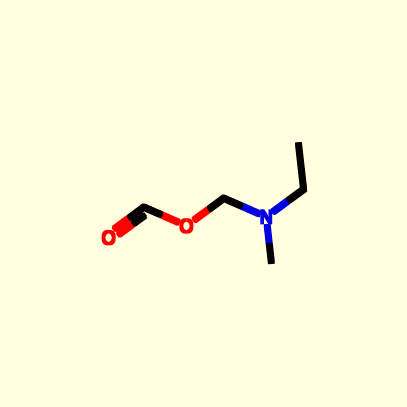 CCN(C)COC=O